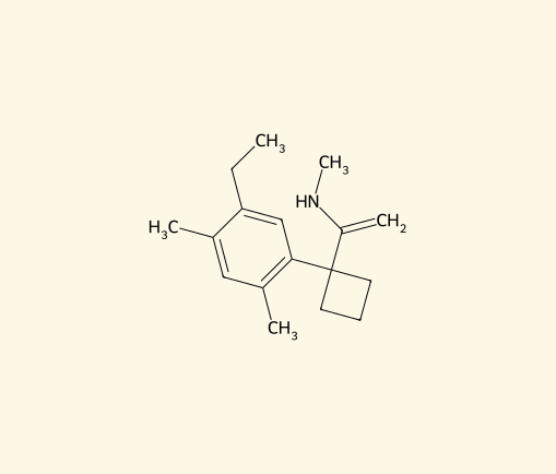 C=C(NC)C1(c2cc(CC)c(C)cc2C)CCC1